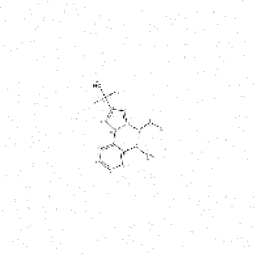 CCCc1cc(C(C)(C)O)nn1-c1ccccc1CN